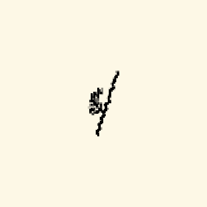 CCC=CCC=CCCCCCC(CCCCCCC)C(C=O)OC(=O)C(C)(C)N=[N+]=[N-]